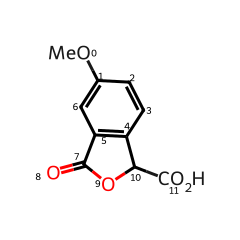 COc1ccc2c(c1)C(=O)OC2C(=O)O